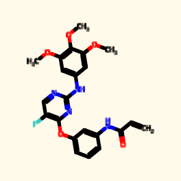 C=CC(=O)Nc1cccc(Oc2nc(Nc3cc(OC)c(OC)c(OC)c3)ncc2F)c1